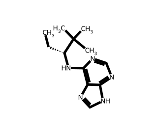 CC[C@@H](Nc1ncnc2[nH]cnc12)C(C)(C)C